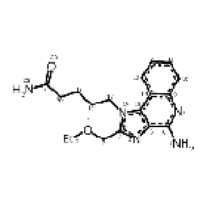 CCOCc1nc2c(N)nc3ccccc3c2n1CCCCC(N)=O